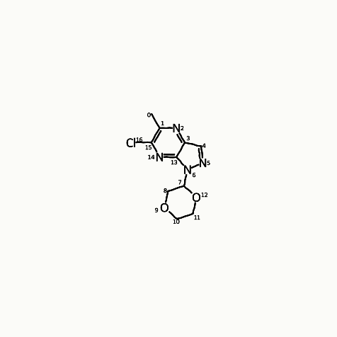 Cc1nc2cnn(C3COCCO3)c2nc1Cl